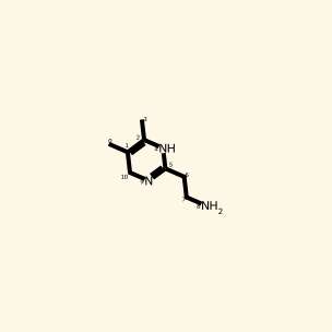 CC1=C(C)NC(CCN)=NC1